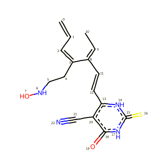 C=C\C=C(CCNO)/C(=C\C)/C=C/c1[nH]c(=S)[nH]c(=O)c1C#N